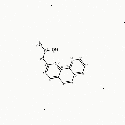 OB(O)Oc1ccc2ccc3cccnc3c2n1